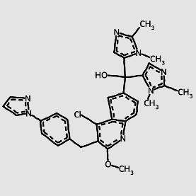 COc1nc2ccc(C(O)(c3cnc(C)n3C)c3cnc(C)n3C)cc2c(Cl)c1Cc1ccc(-n2cccn2)cc1